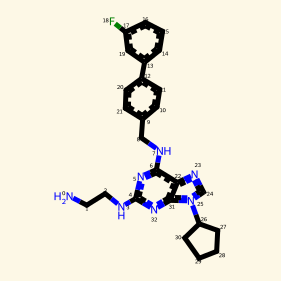 NCCNc1nc(NCc2ccc(-c3cccc(F)c3)cc2)c2ncn(C3CCCC3)c2n1